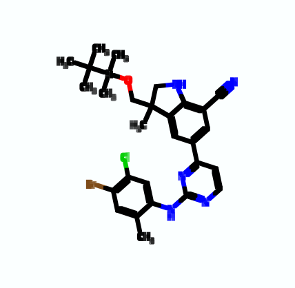 Cc1cc(Br)c(Cl)cc1Nc1nccc(-c2cc(C#N)c3c(c2)C(C)(CO[Si](C)(C)C(C)(C)C)CN3)n1